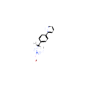 [2H]C([2H])(NNBC=O)c1ccc(-c2ccccn2)cc1